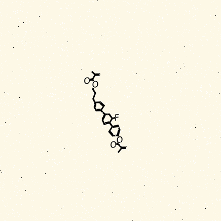 C=C(C)C(=O)OCCCc1ccc(C2=CC=C(c3ccc(OC(=O)C(=C)C)cc3)C(F)C2)cc1